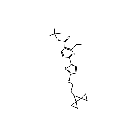 CCc1nc(-n2ccc(OCCC3C4(CC4)C34CC4)n2)ccc1C(=O)OC(C)(C)C